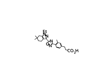 CCn1nc(-c2nc(-c3ccc(CCC(=O)O)cc3C)no2)c2c1CC(C)(C)CC2